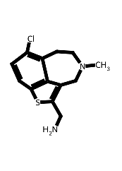 CN1CCc2c(Cl)ccc3sc(CN)c(c23)C1